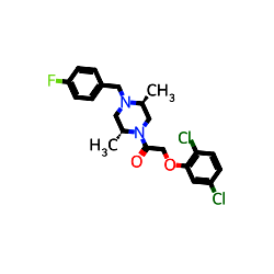 C[C@@H]1CN(Cc2ccc(F)cc2)[C@@H](C)CN1C(=O)COc1cc(Cl)ccc1Cl